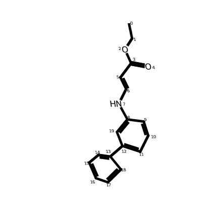 CCOC(=O)C=CNc1cccc(-c2ccccc2)c1